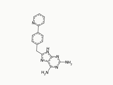 Nc1nc(N)c2nc(Cc3ccc(-c4ccccn4)cc3)[nH]c2n1